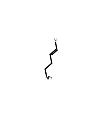 CCCCCC=C[N]